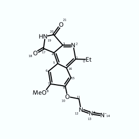 CCc1nc2c(c3cc(OC)c(OCN=[N+]=[N-])cc13)C(=O)NC2=O